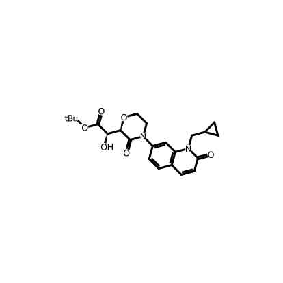 CC(C)(C)OC(=O)[C@H](O)[C@H]1OCCN(c2ccc3ccc(=O)n(CC4CC4)c3c2)C1=O